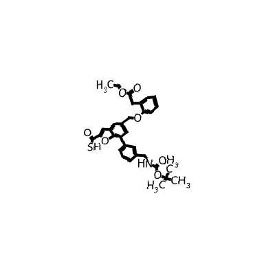 CCOC(=O)Cc1ccccc1OCc1cc(-c2cccc(CNC(=O)OC(C)(C)C)c2)c2oc(C(=O)S)cc2c1